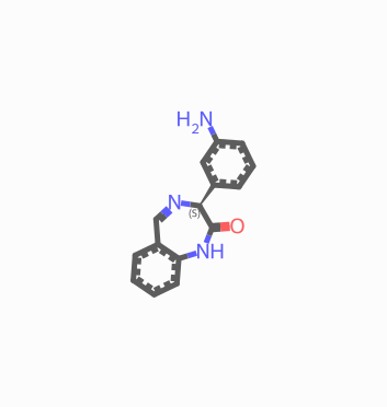 Nc1cccc([C@@H]2N=Cc3ccccc3NC2=O)c1